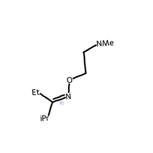 CC/C(=N\OCCNC)C(C)C